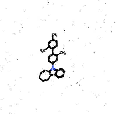 Cc1ccc(-c2ccc(-n3c4c(c5ccccc53)C=CCC=C4)cc2C)c(C)c1